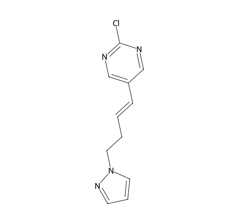 Clc1ncc(/C=C/CCn2cccn2)cn1